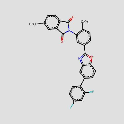 COc1ccc(-c2nc3cc(-c4ccc(F)cc4F)ccc3o2)cc1N1C(=O)c2ccc(C(=O)O)cc2C1=O